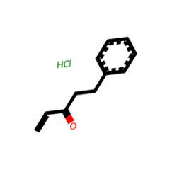 C=CC(=O)CCc1ccccc1.Cl